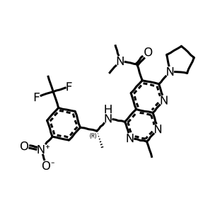 Cc1nc(N[C@H](C)c2cc([N+](=O)[O-])cc(C(C)(F)F)c2)c2cc(C(=O)N(C)C)c(N3CCCC3)nc2n1